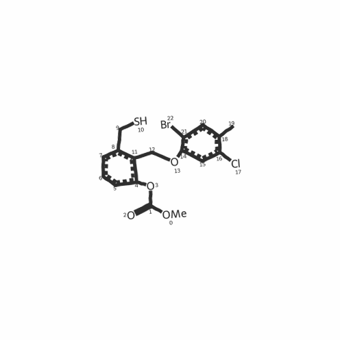 COC(=O)Oc1cccc(CS)c1COc1cc(Cl)c(C)cc1Br